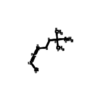 CCN=C=NCCC(C)(C)[AsH2]